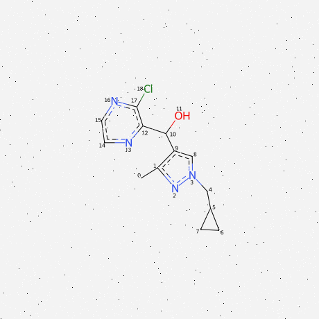 Cc1nn(CC2CC2)cc1C(O)c1nccnc1Cl